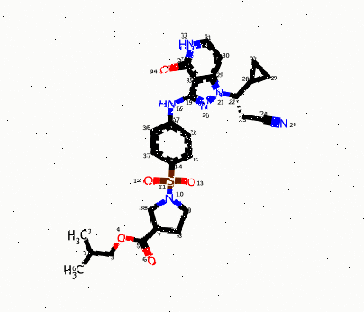 CC(C)COC(=O)C1CCN(S(=O)(=O)c2ccc(Nc3nn([C@@H](CC#N)C4CC4)c4cc[nH]c(=O)c34)cc2)C1